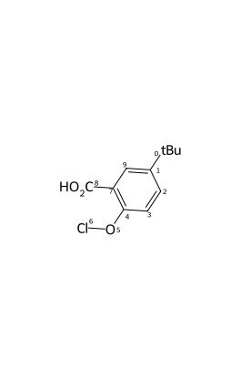 CC(C)(C)c1ccc(OCl)c(C(=O)O)c1